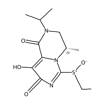 CC[S+]([O-])c1nc(=O)c(O)c2n1[C@@H](C)CN(C(C)C)C2=O